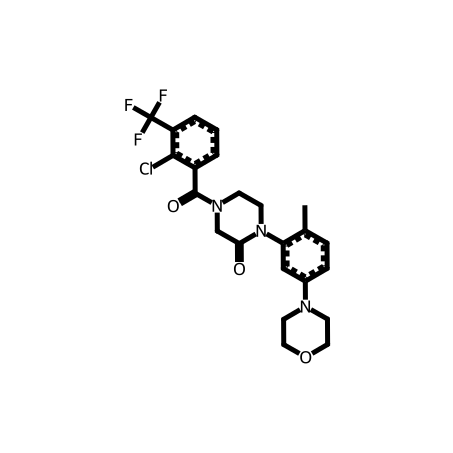 Cc1ccc(N2CCOCC2)cc1N1CCN(C(=O)c2cccc(C(F)(F)F)c2Cl)CC1=O